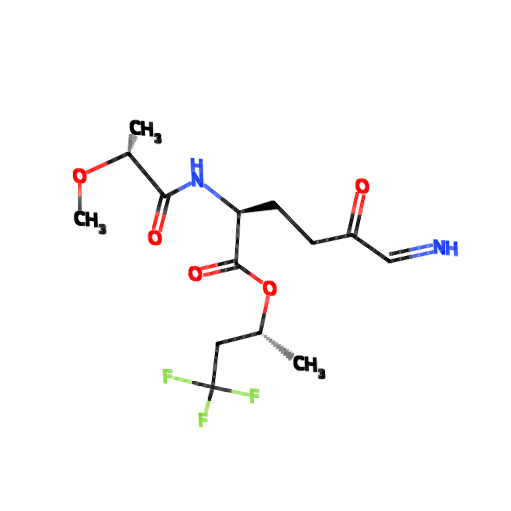 CO[C@H](C)C(=O)N[C@@H](CCC(=O)C=N)C(=O)O[C@H](C)CC(F)(F)F